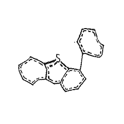 [c]1ccccc1-c1cccc2c1sc1ccccc12